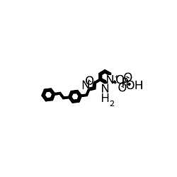 Nc1c(-c2cc(Cc3ccc(CCc4ccccc4)cc3)no2)ccc[n+]1COP(=O)([O-])O